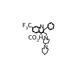 O=C(O)c1c(CN2CCC(N3CCCCC3)CC2)c(-c2ccccc2)nc2cc(C(F)(F)F)ccc12